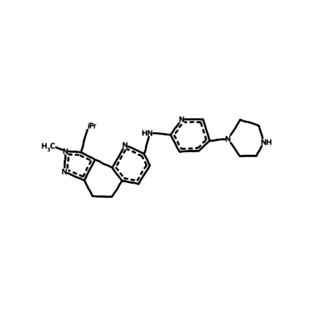 CC(C)c1c2c(nn1C)CCc1ccc(Nc3ccc(N4CCNCC4)cn3)nc1-2